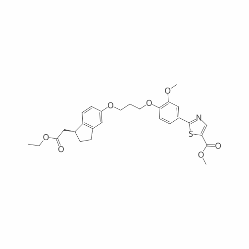 CCOC(=O)C[C@@H]1CCc2cc(OCCCOc3ccc(-c4ncc(C(=O)OC)s4)cc3OC)ccc21